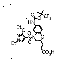 CCOc1nn(CC)cc1S(=O)(=O)N1CC(CCC(=O)O)Oc2ccc(NC(=O)OC(C)(C)C(F)(F)F)cc21